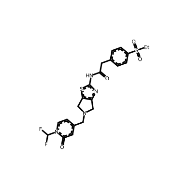 CCS(=O)(=O)c1ccc(CC(=O)Nc2nc3c(s2)CN(Cc2ccn(C(F)F)c(=O)c2)C3)cc1